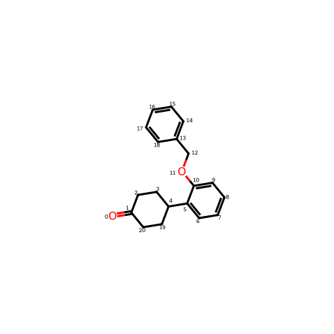 O=C1CCC(c2ccccc2OCc2ccccc2)CC1